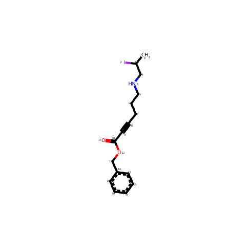 CC(I)CNCCCC#CC(=O)OCc1ccccc1